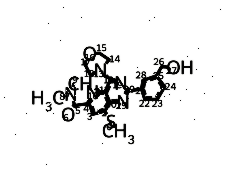 CSc1cc(C(=O)N(C)C)nc2c(N3CCOCC3)nc(-c3cccc(CO)c3)nc12